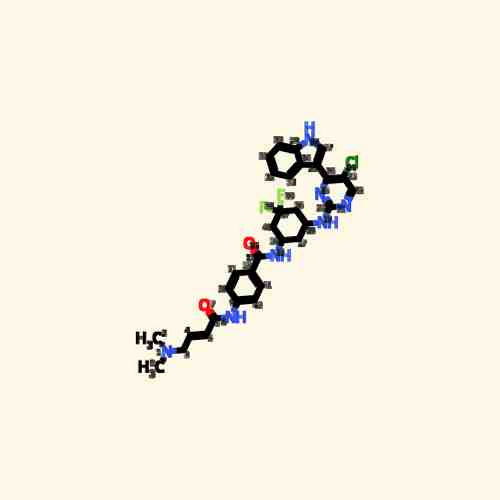 CN(C)C/C=C/C(=O)Nc1ccc(C(=O)NC2CC(Nc3ncc(Cl)c(-c4c[nH]c5ccccc45)n3)CC(F)(F)C2)cc1